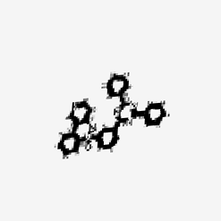 O=S1(c2cccc(-c3nc(-c4ccccc4)nc(-c4ccccc4)n3)c2)=Nc2ccncc2-c2ccccc21